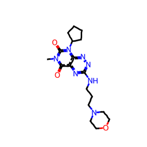 Cn1c(=O)c2nc(NCCCN3CCOCC3)nnc2n(C2CCCC2)c1=O